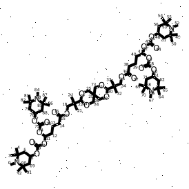 CN1C(C)(C)CC(OC(=O)OC(CCCC(=O)OCC(C)(C)C2OCC3(CO2)COC(C(C)(C)COC(=O)CCCC(OC(=O)OC2CC(C)(C)N(C)C(C)(C)C2)OC(=O)OC2CC(C)(C)N(C)C(C)(C)C2)OC3)OC(=O)OC2CC(C)(C)N(C)C(C)(C)C2)CC1(C)C